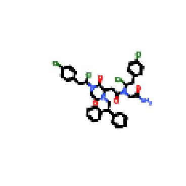 NC(=O)CN(C(=O)CC1C(=O)N(C(Cl)Cc2ccc(Cl)cc2)CC(=O)N1CC(c1ccccc1)c1ccccc1)C(Cl)Cc1ccc(Cl)cc1